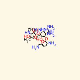 CN[C@@H]1[C@@H](O)[C@@H](O[C@@]2(C)[C@H](N)C(NC(=N)N)[C@H](N)[C@@H](O[C@H]3OC(CN)=CC[C@H]3N)[C@@H]2O)OC[C@]1(C)O